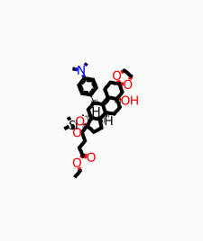 CCOC(=O)CCC(=O)[C@@]1(O[Si](C)(C)C)CC[C@H]2[C@@H]3CC[C@@]4(O)CC5(CCC4=C3[C@@H](c3ccc(N(C)C)cc3)C[C@@]21C)OCCO5